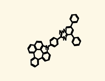 c1ccc(-c2cc(-c3ccccc3)c3nc(-c4ccc(-n5c6cccc7c6c6c8c(cccc8ccc65)-c5ccccc5-7)cc4)nn3c2)cc1